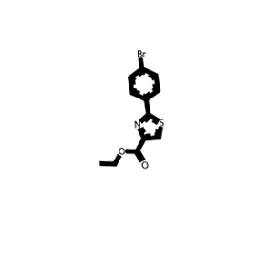 CCOC(=O)c1csc(-c2ccc(Br)cc2)n1